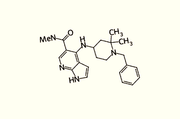 CNC(=O)c1cnc2[nH]ccc2c1NC1CCN(Cc2ccccc2)C(C)(C)C1